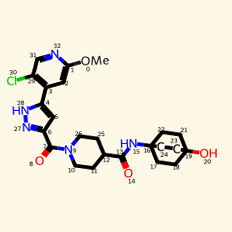 COc1cc(-c2cc(C(=O)N3CCC(C(=O)NC45CCC(O)(CC4)CC5)CC3)n[nH]2)c(Cl)cn1